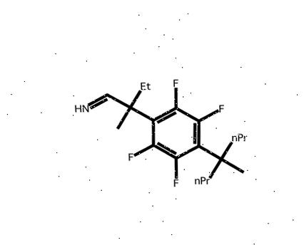 CCCC(C)(CCC)c1c(F)c(F)c(C(C)(C=N)CC)c(F)c1F